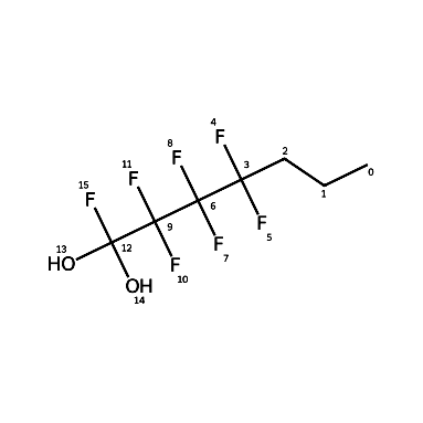 CCCC(F)(F)C(F)(F)C(F)(F)C(O)(O)F